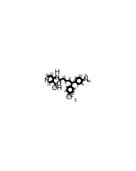 CN(C)c1ccc(C(=CC=CC(=O)Nc2ccncc2CO)c2ccc(C(F)(F)F)cc2)cc1